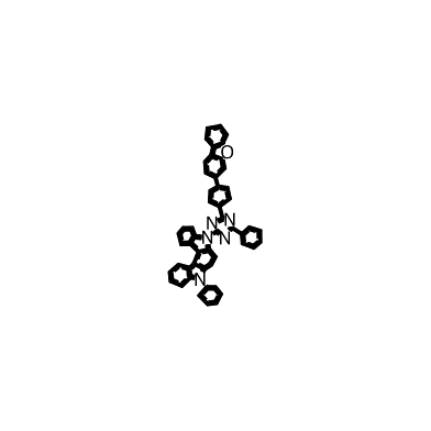 c1ccc(-c2nc(-c3ccc(-c4ccc5c(c4)oc4ccccc45)cc3)nc(-n3c4ccccc4c4c5c6ccccc6n(-c6ccccc6)c5ccc43)n2)cc1